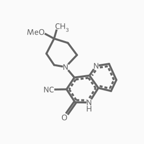 COC1(C)CCN(c2c(C#N)c(=O)[nH]c3cccnc23)CC1